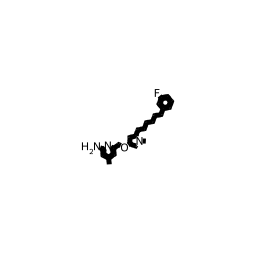 Cc1cc(N)nc(COC2CC(CCCCCCc3cccc(F)c3)N(C)C2)c1